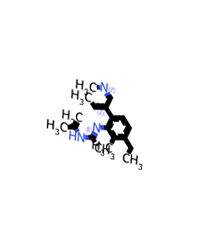 C=C(C)N/C(C)=N/c1c(C(/C=N\C)=C/C)ccc(CC)c1C